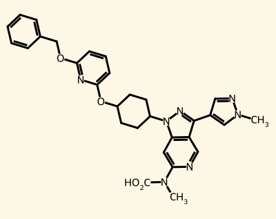 CN(C(=O)O)c1cc2c(cn1)c(-c1cnn(C)c1)nn2C1CCC(Oc2cccc(OCc3ccccc3)n2)CC1